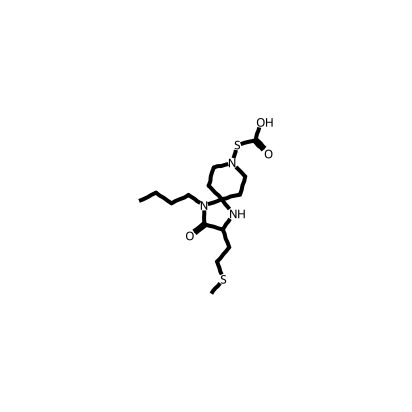 CCCCN1C(=O)C(CCSC)NC12CCN(SC(=O)O)CC2